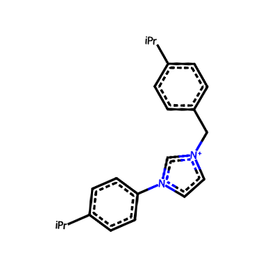 CC(C)c1ccc(C[n+]2ccn(-c3ccc(C(C)C)cc3)c2)cc1